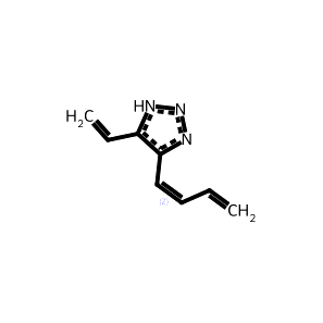 C=C/C=C\c1nn[nH]c1C=C